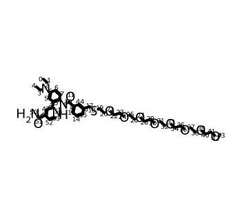 CCN(CC)c1ccc(NC(=O)c2cccc(CSCCOCCOCCOCCOCCOCCOCCOCCOC)c2)c(-c2cc(C(N)=O)ccn2)c1